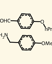 CCCOc1ccc(C=O)cc1.COc1ccc(CN)cc1